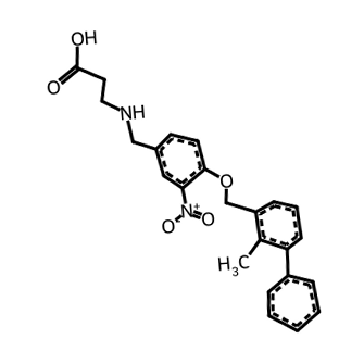 Cc1c(COc2ccc(CNCCC(=O)O)cc2[N+](=O)[O-])cccc1-c1ccccc1